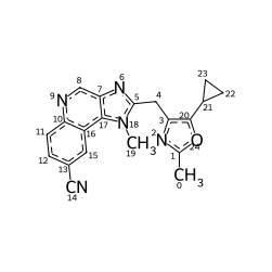 Cc1nc(Cc2nc3cnc4ccc(C#N)cc4c3n2C)c(C2CC2)o1